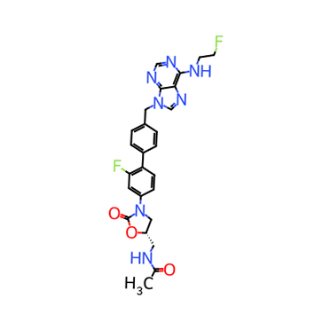 CC(=O)NC[C@H]1CN(c2ccc(-c3ccc(Cn4cnc5c(NCCF)ncnc54)cc3)c(F)c2)C(=O)O1